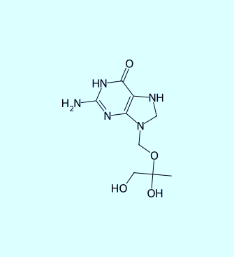 CC(O)(CO)OCN1CNc2c1nc(N)[nH]c2=O